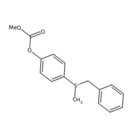 COC(=O)Oc1ccc([S+](C)Cc2ccccc2)cc1